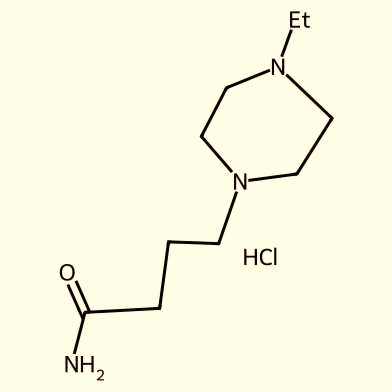 CCN1CCN(CCCC(N)=O)CC1.Cl